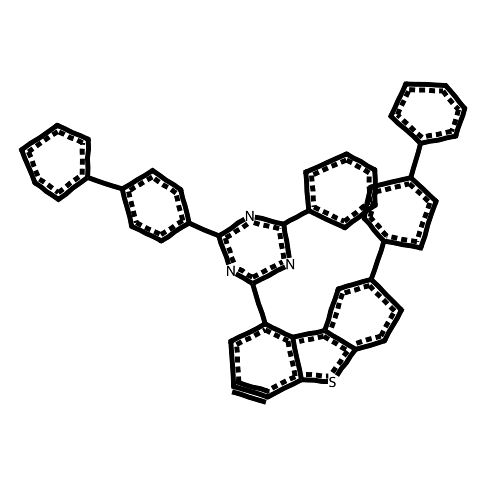 c1cc(-c2nc(-c3ccccc3)nc(-c3ccc(-c4ccccc4)cc3)n2)c2c(c#1)sc1ccc(-c3ccc(-c4ccccc4)cc3)cc12